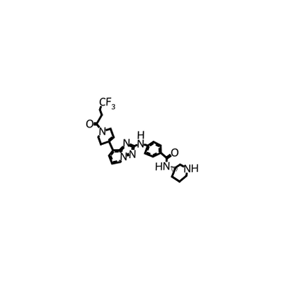 O=C(N[C@H]1CCCNC1)c1ccc(Nc2nc3c(C4=CCN(C(=O)CCC(F)(F)F)CC4)cccn3n2)cc1